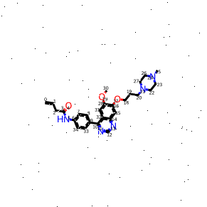 C=CCC(=O)Nc1ccc(-c2ncnc3cc(OCCCN4CCN(C)CC4)c(OC)cc23)cc1